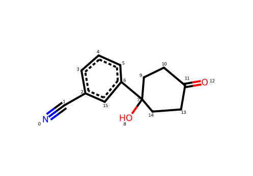 N#Cc1cccc(C2(O)CCC(=O)CC2)c1